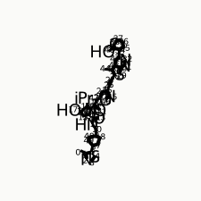 Cc1ncsc1-c1ccc(CNC(=O)[C@@H]2C[C@@H](O)CN2C(=O)[C@@H](c2cc(C#Cc3sc4nnc(-c5ccccc5O)cc4c3C)no2)C(C)C)cc1